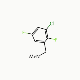 CNCc1cc(F)cc(Cl)c1F